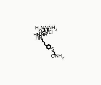 N=C(NCCCCc1ccc(SCCC(N)=O)cc1)NC(=O)c1nc(Cl)c(N)nc1N